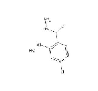 C[C@@H](NN)c1ccc(Cl)cc1Cl.Cl